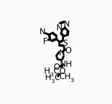 CC(C)(C)OC(=O)NC1CCCN(C(=O)c2cc(-c3ccc(C#N)c(F)c3)c(-c3ccc4nccnc4c3)s2)C1